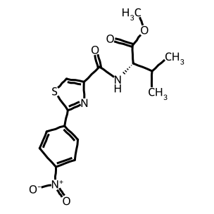 COC(=O)[C@@H](NC(=O)c1csc(-c2ccc([N+](=O)[O-])cc2)n1)C(C)C